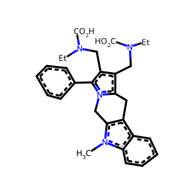 CCN(Cc1c(CN(CC)C(=O)O)c(-c2ccccc2)n2c1Cc1c(n(C)c3ccccc13)C2)C(=O)O